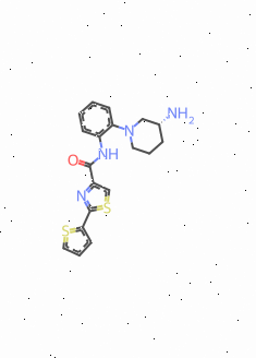 N[C@@H]1CCCN(c2ccccc2NC(=O)c2csc(-c3cccs3)n2)C1